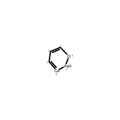 C1=CO[AsH][Ga]=[CH]1